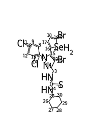 S=C(NCc1nn(-c2ccc(Cl)cc2Cl)c(C2=CC=C(Br)[SeH2]2)c1Br)NC1CCCCC1